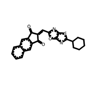 O=C1C(=Cc2nc3sc(C4CCCCC4)nc3o2)C(=O)c2cc3ccccc3cc21